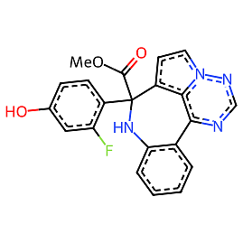 COC(=O)C1(c2ccc(O)cc2F)Nc2ccccc2-c2ncnn3ccc1c23